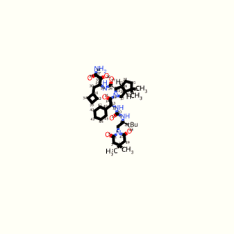 CC1(C)CC(=O)N(C[C@@H](NC(=O)N[C@H](C(=O)N2C[C@H]3[C@H](CCC3(C)C)[C@H]2C(=O)NC(CC2CCC2)C(=O)C(N)=O)C2CCCCC2)C(C)(C)C)C(=O)C1